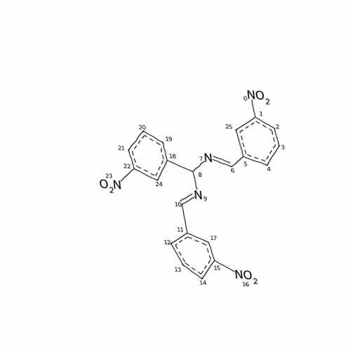 O=[N+]([O-])c1cccc(C=NC(N=Cc2cccc([N+](=O)[O-])c2)c2cccc([N+](=O)[O-])c2)c1